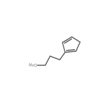 COCCCC1=CCC=C1